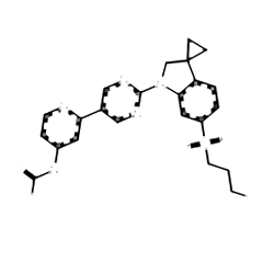 CC(=O)Nc1ccnc(-c2cnc(N3CC4(CC4)c4ccc(S(=O)(=O)CCCO)cc43)nc2)c1